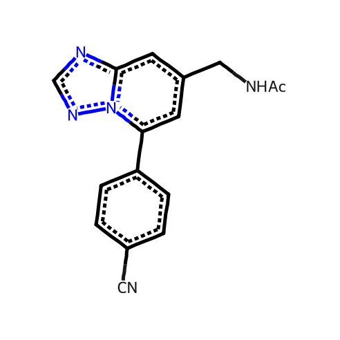 CC(=O)NCc1cc(-c2ccc(C#N)cc2)n2ncnc2c1